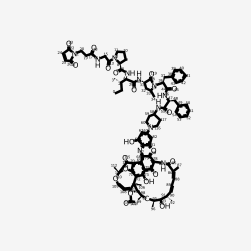 CC[C@H](C)[C@H](NC(=O)[C@@H]1CCCN1C(=O)CNC(=O)CCN1C(=O)C=CC1=O)C(=O)N[C@H]1CC(C)N([C@@H](Cc2ccccc2)C(=O)N[C@@H](Cc2ccccc2)C(=O)NC2CCN(c3cc(O)c4nc5c6c7c8c9c(O)c6c(=O)c(c-5oc4c3)NC(=O)/C(C)=C\C=C\[C@H](C)C(O)[C@@H](C)C[C@@H](C)[C@H](OC(C)=O)[C@]9(C)C=C=CO[C@@](C)(O8)C7=O)CC2)C1=O